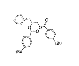 CC(C)(C)c1ccc(C(=O)OCC(C[n+]2ccccc2)OC(=O)c2ccc(C(C)(C)C)cc2)cc1